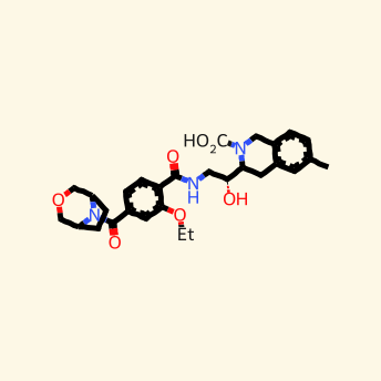 CCOc1cc(C(=O)N2C3CCC2COC3)ccc1C(=O)NC[C@@H](O)C1Cc2cc(C)ccc2CN1C(=O)O